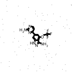 Nc1nccc(-c2cc(OCC(F)(F)F)c3c(N)n[nH]c3c2)n1